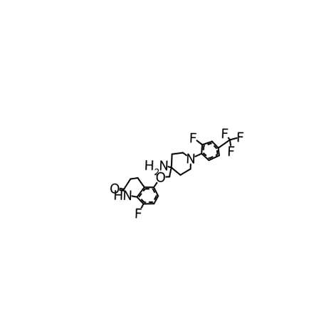 NC1(COc2ccc(F)c3c2CCC(=O)N3)CCN(c2ccc(C(F)(F)F)cc2F)CC1